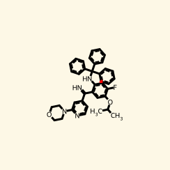 CC(C)Oc1cc(C(=N)c2ccnc(N3CCOCC3)c2)c(NC(c2ccccc2)(c2ccccc2)c2ccccc2)cc1F